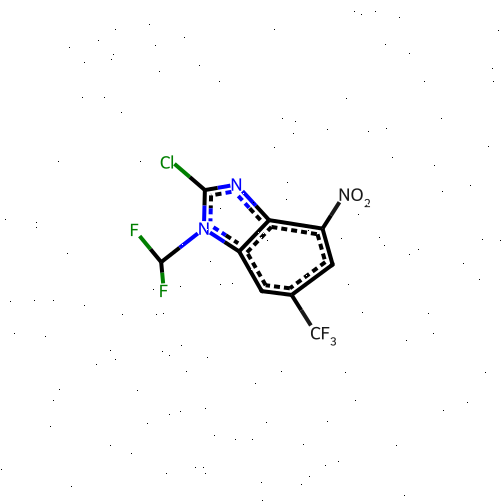 O=[N+]([O-])c1cc(C(F)(F)F)cc2c1nc(Cl)n2C(F)F